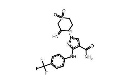 N=C1CS(=O)(=O)CC[C@@H]1n1cc(C(N)=O)c(Nc2ccc(C(F)(F)F)cc2)n1